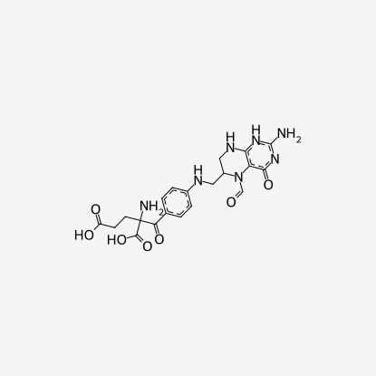 Nc1nc(=O)c2c([nH]1)NCC(CNc1ccc(C(=O)C(N)(CCC(=O)O)C(=O)O)cc1)N2C=O